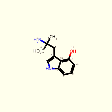 CC(N)(Cc1c[nH]c2cccc(O)c12)C(=O)O